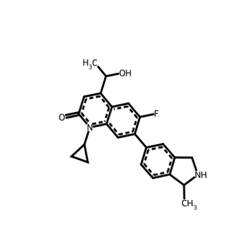 CC(O)c1cc(=O)n(C2CC2)c2cc(-c3ccc4c(c3)CNC4C)c(F)cc12